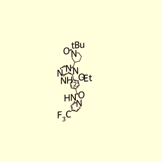 CCOc1cc(C(=O)Nc2cc(C(F)(F)F)ccn2)ccc1-c1nc(C2CCCN(C(=O)C(C)(C)C)C2)n2ccnc(N)c12